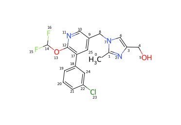 Cc1nc(CO)cn1Cc1cnc(OC(F)F)c(-c2cccc(Cl)c2)c1